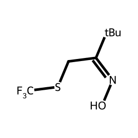 CC(C)(C)C(CSC(F)(F)F)=NO